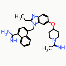 CCc1nc2ccc(OC3CCN(C(C)=N)CC3)cc2n1Cc1ccc(C(=N)N)c2ccccc12